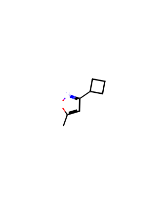 Cc1cc(C2CCC2)no1